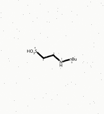 CCCCNCCS(=O)(=O)O